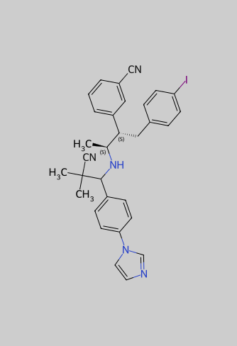 C[C@H](NC(c1ccc(-n2ccnc2)cc1)C(C)(C)C#N)[C@@H](Cc1ccc(I)cc1)c1cccc(C#N)c1